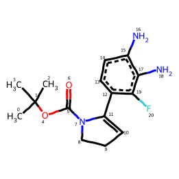 CC(C)(C)OC(=O)N1CCC=C1c1ccc(N)c(N)c1F